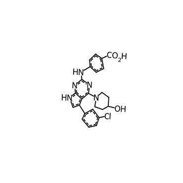 O=C(O)c1ccc(Nc2nc(N3CCC(O)CC3)c3c(-c4cccc(Cl)c4)c[nH]c3n2)cc1